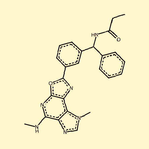 CCC(=O)NC(c1ccccc1)c1cccc(-c2nc3c(nc(NC)c4ncn(C)c43)o2)c1